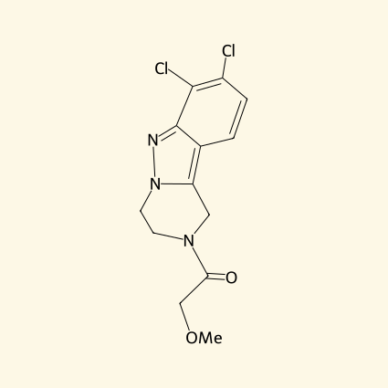 COCC(=O)N1CCn2nc3c(Cl)c(Cl)ccc3c2C1